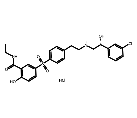 CCNC(=O)c1cc(S(=O)(=O)c2ccc(CCNC[C@H](O)c3cccc(Cl)c3)cc2)ccc1O.Cl